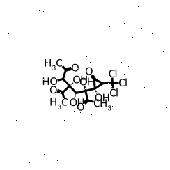 CC(=O)C(O)[C@](O)(C(C)=O)[C@@H](O)[C@@](O)(C(C)=O)[C@@]1(O)C(=O)C1C(Cl)(Cl)Cl